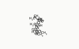 COc1cc(N(C)CCN(C)C)c([N+](=O)[O-])cc1Nc1ncc(Cl)c(Nc2ccc(C)cc2P(C)(C)=O)n1